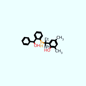 CCCC(CC)(Pc1ccccc1C(O)c1ccccc1)c1cc(C)cc(C)c1O